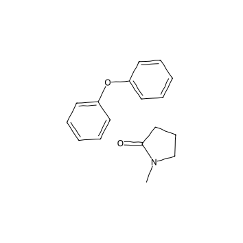 CN1CCCC1=O.c1ccc(Oc2ccccc2)cc1